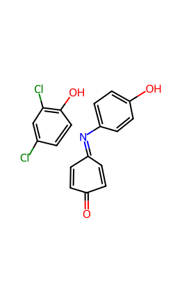 O=C1C=CC(=Nc2ccc(O)cc2)C=C1.Oc1ccc(Cl)cc1Cl